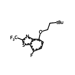 CC(C)(C)CCOc1ccc(F)c2sc(C(F)(F)F)nc12